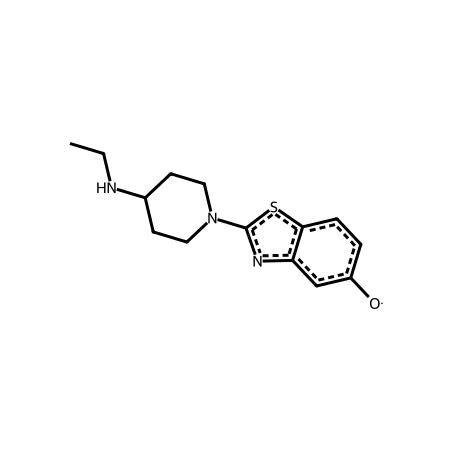 CCNC1CCN(c2nc3cc([O])ccc3s2)CC1